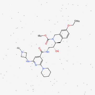 COCOc1ccc2c(c1)CN(C(=O)OC(C)(C)C)[C@H]([C@H](O)CNC(=O)c1cc(NC3CN(C(C)=O)C3)nc(N3CCCCC3)c1)C2